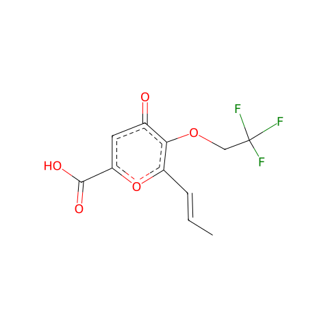 C/C=C/c1oc(C(=O)O)cc(=O)c1OCC(F)(F)F